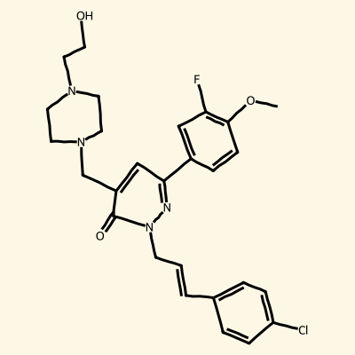 COc1ccc(-c2cc(CN3CCN(CCO)CC3)c(=O)n(CC=Cc3ccc(Cl)cc3)n2)cc1F